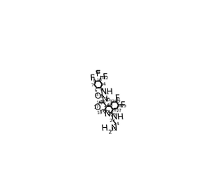 CN(C(=O)Nc1ccc(F)c(C(F)F)c1)[C@H]1COCc2nc(NCCN)c3cc(F)c(F)cc3c21